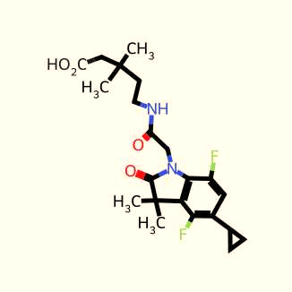 CC(C)(CCNC(=O)CN1C(=O)C(C)(C)c2c(F)c(C3CC3)cc(F)c21)CC(=O)O